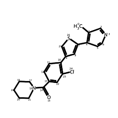 Cc1cnccc1-c1cc(-c2ccc(C(=O)N3CCCCC3)cc2Cl)cs1